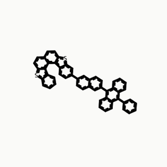 c1ccc(-c2c3ccccc3c(-c3ccc4cc(-c5ccc6c(c5)sc5ccc7ccc8sc9ccccc9c8c7c56)ccc4c3)c3ccccc23)cc1